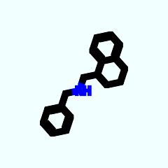 c1ccc(CNCC2CCCc3ccccc32)cc1